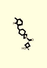 Cc1cccc(CC2CCC3(CC2)CN(C(=O)[C@H]2C[C@@](C)(O)C2)C3)c1F